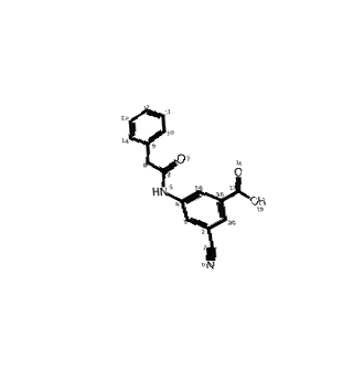 N#Cc1cc(NC(=O)Cc2ccccc2)cc(C(=O)O)c1